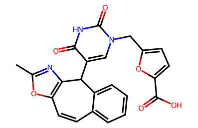 Cc1nc2c(o1)C=Cc1ccccc1C2c1cn(Cc2ccc(C(=O)O)o2)c(=O)[nH]c1=O